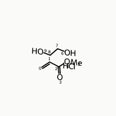 C=CC(=O)OC.Cl.OCCO